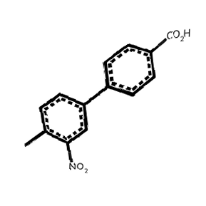 Cc1ccc(-c2ccc(C(=O)O)cc2)cc1[N+](=O)[O-]